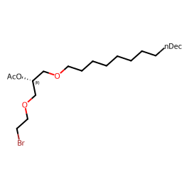 CCCCCCCCCCCCCCCCCCOC[C@H](COCCBr)OC(C)=O